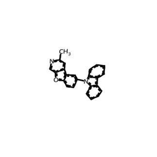 Cc1cc2c(cn1)oc1ccc(-n3c4ccccc4c4ccccc43)cc12